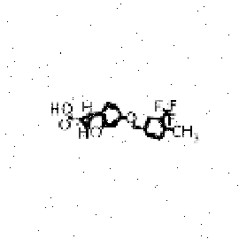 Cc1ccc(COc2ccc3c(c2)O[C@H]2[C@H](C(=O)O)[C@@H]32)cc1C(F)(F)F